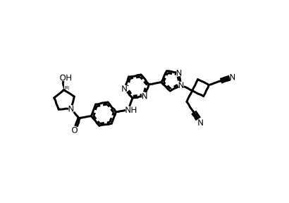 N#CCC1(n2cc(-c3ccnc(Nc4ccc(C(=O)N5CC[C@@H](O)C5)cc4)n3)cn2)CC(C#N)C1